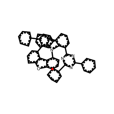 c1ccc(-c2nc(-c3ccccc3)nc(-c3cccc4c5ccccc5n(-c5cccc6oc7cccc(-c8ccccc8-c8ccccc8)c7c56)c34)n2)cc1